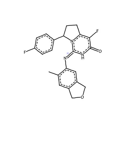 Cc1cc2c(cc1/N=c1\[nH]c(=O)c(F)c3n1C(c1ccc(F)cc1)CC3)COC2